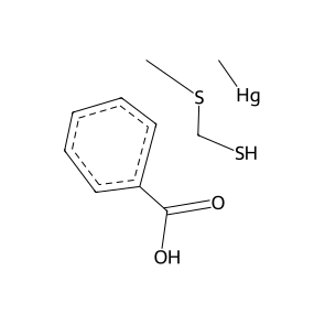 CSCS.O=C(O)c1ccccc1.[CH3][Hg]